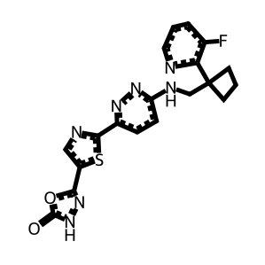 O=c1[nH]nc(-c2cnc(-c3ccc(NCC4(c5ncccc5F)CCC4)nn3)s2)o1